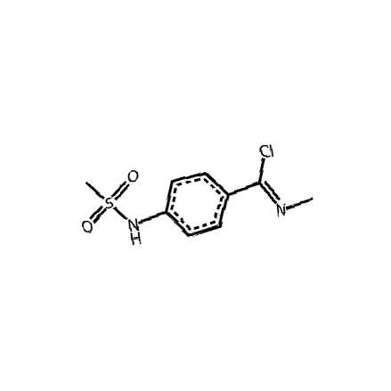 C/N=C(\Cl)c1ccc(NS(C)(=O)=O)cc1